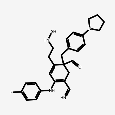 N=CC1=C(Nc2ccc(F)cc2)C=C(CCNS)C(C=O)(Cc2ccc(N3CCCC3)cc2)C1